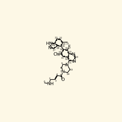 CNC/C=C/C(=O)N1CCN(c2ncnc3c(F)c(-c4c(C)ccc5[nH]ncc45)c(Cl)cc23)CC1